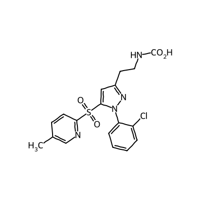 Cc1ccc(S(=O)(=O)c2cc(CCNC(=O)O)nn2-c2ccccc2Cl)nc1